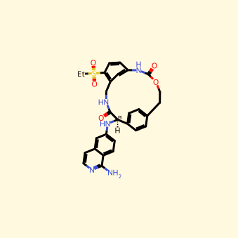 CCS(=O)(=O)c1ccc2cc1CNC(=O)[C@H](Nc1ccc3c(N)nccc3c1)c1ccc(cc1)CCOC(=O)N2